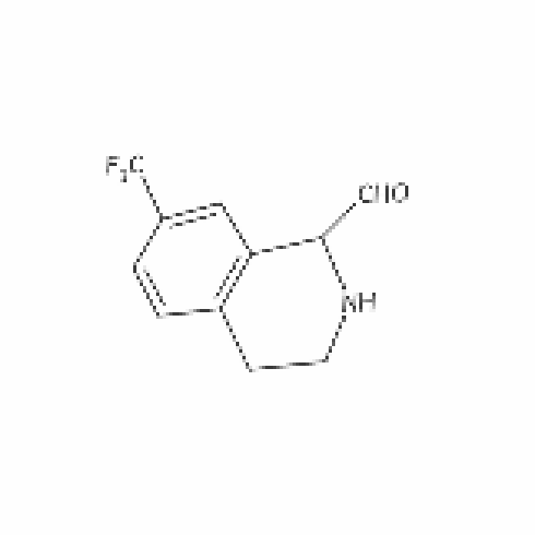 O=CC1NCCc2ccc(C(F)(F)F)cc21